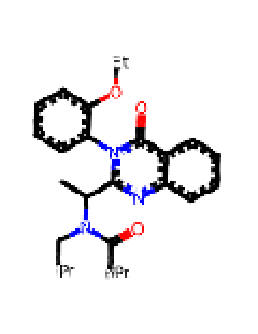 CCCC(=O)N(CC(C)C)C(C)c1nc2ccccc2c(=O)n1-c1ccccc1OCC